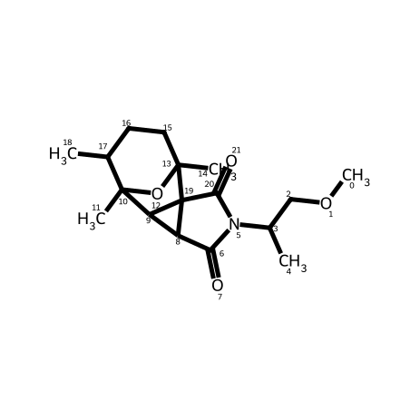 COCC(C)N1C(=O)C2C3C4(C)OC(C)(CCC4C)C23C1=O